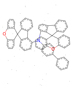 c1ccc(-c2ccc(N(c3cccc4c3-c3ccccc3C43c4ccccc4Oc4ccccc43)c3cccc4c3C3(c5ccccc5Oc5ccccc53)c3ccccc3-4)cc2)cc1